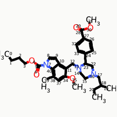 CCCCOC(=O)n1ccc2c(CN3CCN(CC(C)CC)CC3c3ccc(C(=O)OC)cc3)c(OC)cc(C)c21